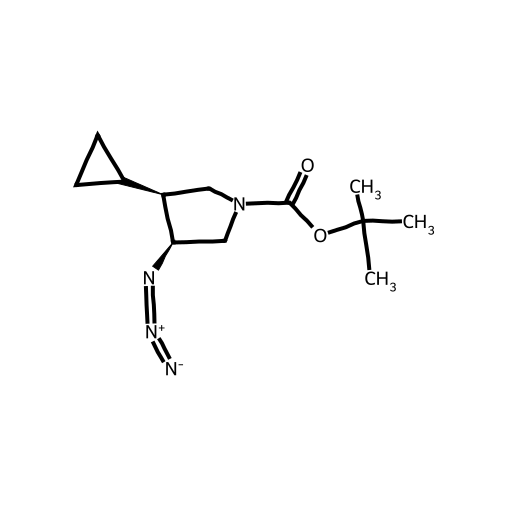 CC(C)(C)OC(=O)N1C[C@H](C2CC2)[C@H](N=[N+]=[N-])C1